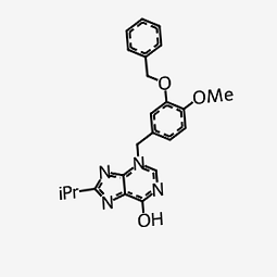 COc1ccc(Cn2cnc(O)c3nc(C(C)C)nc2-3)cc1OCc1ccccc1